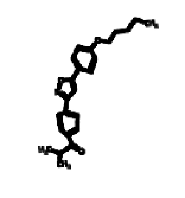 CCCCCOc1ccc(-c2cc(-c3ccc(C(=O)C(C)C)cc3)no2)cc1